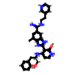 Cc1cc(C(=N)NCCc2cccnc2)cc2[nH]c(-c3c(N[C@H](CO)Cc4ccccc4)cc[nH]c3=O)nc12